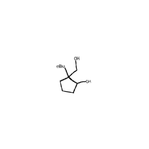 CCCCC1(CO)CCCC1O